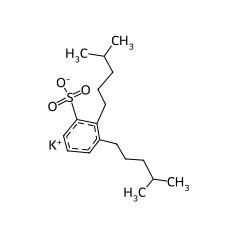 CC(C)CCCc1cccc(S(=O)(=O)[O-])c1CCCC(C)C.[K+]